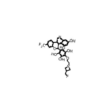 Oc1ccc2c3c(cnc2c1)-c1ccc(C(F)(F)F)cc1OC3c1c(O)c(O)c(OCCN2CC(CF)C2)c(O)c1O